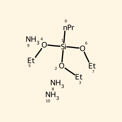 CCC[Si](OCC)(OCC)OCC.N.N.N